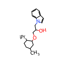 CC1CCC(C(C)C)C(OCC(O)Cn2ccc3ccccc32)C1